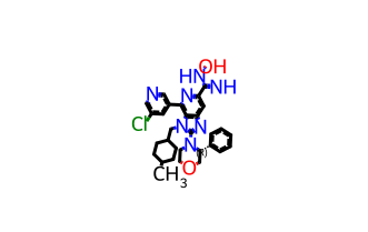 CC1CCC(Cn2c(N3CCOC[C@H]3c3ccccc3)nc3cc(C(=N)NO)nc(-c4cncc(Cl)c4)c32)CC1